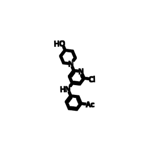 CC(=O)c1cccc(Nc2cc(Cl)nc(N3CCC(O)CC3)c2)c1